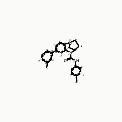 Cc1ccc(NC(=O)N2c3nc(-c4ccnc(C)c4)ccc3N3CCC2C3)cn1